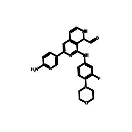 Nc1ccc(-c2cc3c(c(Nc4ccc(N5CCOCC5)c(F)c4)n2)C(C=O)NC=C3)cn1